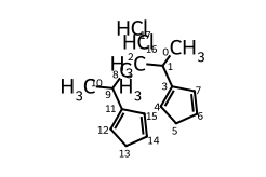 CC(C)C1=CCC=C1.CC(C)C1=CCC=C1.Cl.Cl